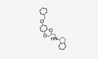 c1ccc(COc2ccc3c(c2)OC(CNC2CCc4ccccc42)CO3)cc1